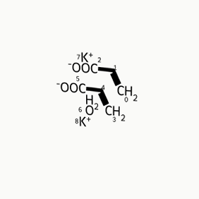 C=CC(=O)[O-].C=CC(=O)[O-].O.[K+].[K+]